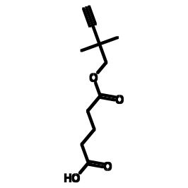 C#CC(C)(C)COC(=O)CCCC(=O)O